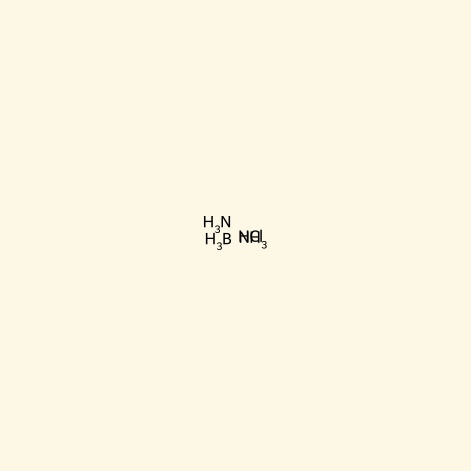 B.Cl.N.N